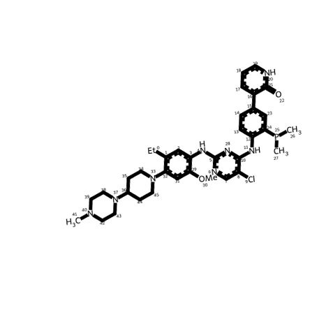 CCc1cc(Nc2ncc(Cl)c(Nc3ccc(-c4ccc[nH]c4=O)cc3P(C)C)n2)c(OC)cc1N1CCC(N2CCN(C)CC2)CC1